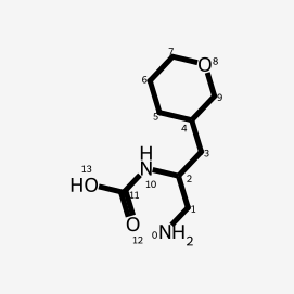 NCC(CC1CCCOC1)NC(=O)O